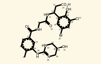 Cc1ccc(C(=O)NCC(=O)NC(CC(=O)O)c2cc(Br)cc(Cl)c2O)cc1NC1=NC[C@H](O)CN1